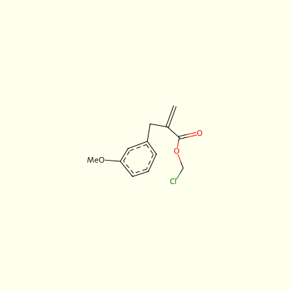 C=C(Cc1cccc(OC)c1)C(=O)OCCl